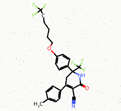 Cc1ccc(C2=C(C#N)C(=O)NC(c3ccc(OCCCCCC(F)(F)F)cc3)(C(F)(F)F)C2)cc1